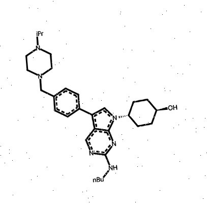 CCCCNc1ncc2c(-c3ccc(CN4CCN(C(C)C)CC4)cc3)cn([C@H]3CC[C@H](O)CC3)c2n1